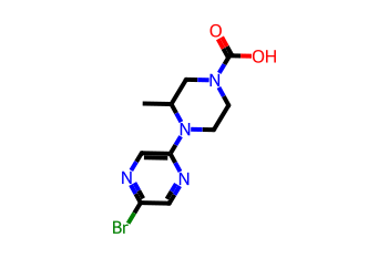 CC1CN(C(=O)O)CCN1c1cnc(Br)cn1